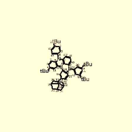 CC(C)(C)c1ccc(N2c3ccc(C(C)(C)C)cc3B3c4cc(C56CC7CC(CC(C7)C5)C6)ccc4N(c4cc(C(C)(C)C)cc(C(C)(C)C)c4)c4cccc2c43)cc1